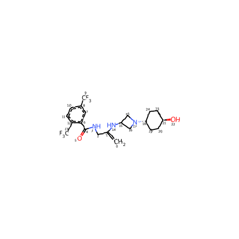 C=C(CNC(=O)c1cc(C(F)(F)F)ccc1C(F)(F)F)NC1CN([C@H]2CC[C@H](O)CC2)C1